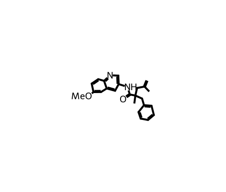 C=C(C)CC(C)(Cc1ccccc1)C(=O)Nc1cnc2ccc(OC)cc2c1